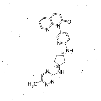 Cc1cnc(N[C@H]2CC[C@H](Nc3ccc(-n4c(=O)ccc5cccnc54)cn3)C2)nn1